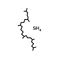 CC(C)CCCC(C)CCCC(C)CCCCC(C)CCCC(C)CCCC(C)C.[SiH4]